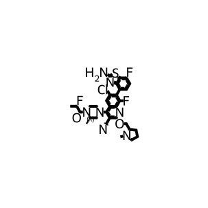 CC(F)C(=O)N1CCN(c2c(C#N)c(OCC3CCCN3C)nc3c(F)c(-c4ccc(F)c5sc(N)nc45)c(Cl)cc23)C[C@H]1C